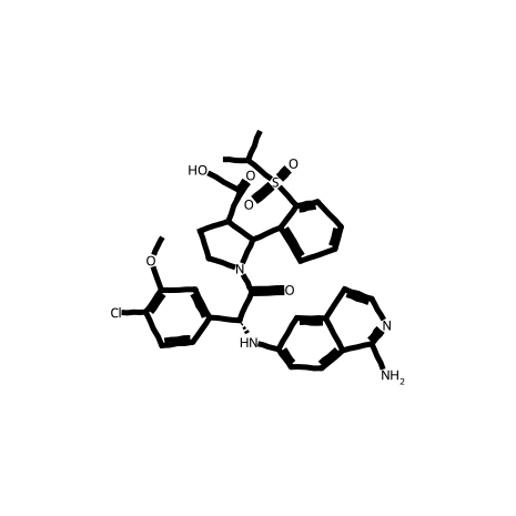 COc1cc([C@@H](Nc2ccc3c(N)nccc3c2)C(=O)N2CCC(C(=O)O)C2c2ccccc2S(=O)(=O)C(C)C)ccc1Cl